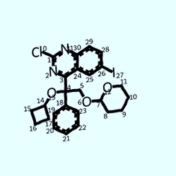 Clc1nc(C(COC2CCCCO2)(OC2CCC2)c2ccccc2)c2cc(I)ccc2n1